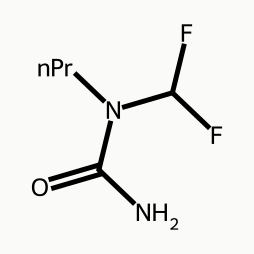 CCCN(C(N)=O)C(F)F